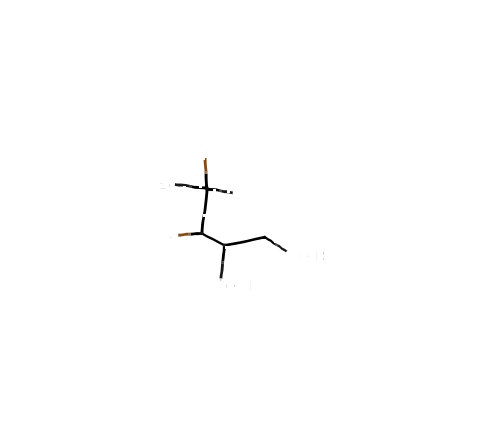 CCC(Br)(CC)C(Br)C(CC(=O)O)C(=O)O